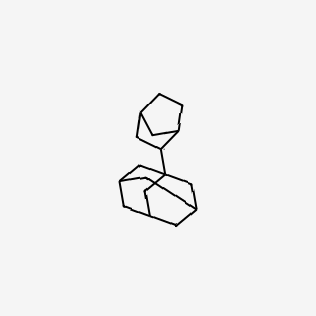 C1CC2CC1C[C]2C12CC3CC(CC(C3)C1)C2